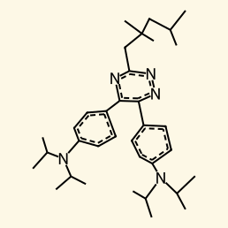 CC(C)CC(C)(C)Cc1nnc(-c2ccc(N(C(C)C)C(C)C)cc2)c(-c2ccc(N(C(C)C)C(C)C)cc2)n1